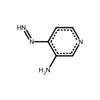 N=Nc1ccncc1N